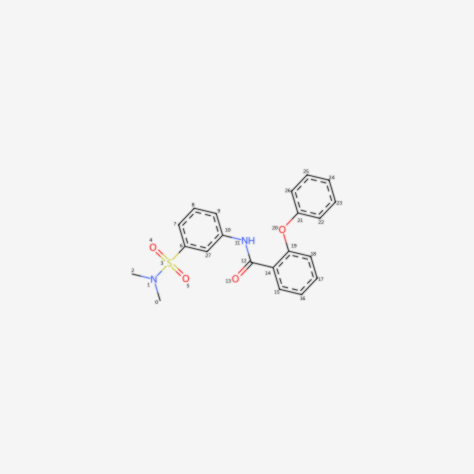 CN(C)S(=O)(=O)c1cccc(NC(=O)c2ccccc2Oc2ccccc2)c1